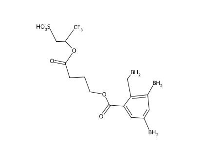 BCc1c(B)cc(B)cc1C(=O)OCCCC(=O)OC(CS(=O)(=O)O)C(F)(F)F